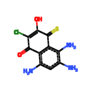 Nc1cc(N)c2c(c1N)C(=S)C(O)=C(Cl)C2=O